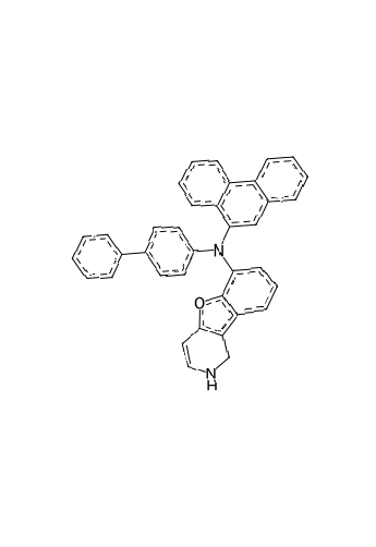 C1=Cc2oc3c(N(c4ccc(-c5ccccc5)cc4)c4cc5ccccc5c5ccccc45)cccc3c2CN1